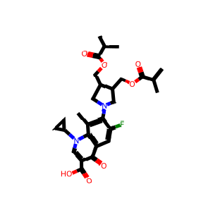 Cc1c(N2CC(COC(=O)C(C)C)C(COC(=O)C(C)C)C2)c(F)cc2c(=O)c(C(=O)O)cn(C3CC3)c12